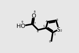 Cc1sccc1CC(=O)O